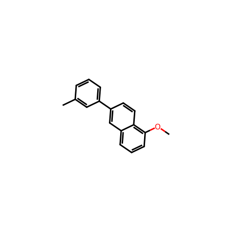 COc1cccc2cc(-c3cccc(C)c3)ccc12